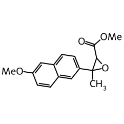 COC(=O)C1OC1(C)c1ccc2cc(OC)ccc2c1